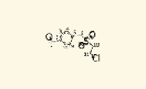 O=[C]c1ccc(CS(=O)(=O)CCCl)cc1